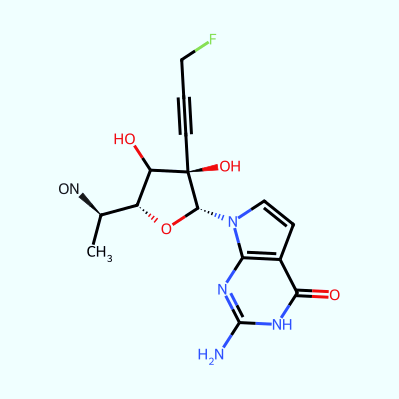 C[C@@H](N=O)[C@H]1O[C@@H](n2ccc3c(=O)[nH]c(N)nc32)[C@@](O)(C#CCF)C1O